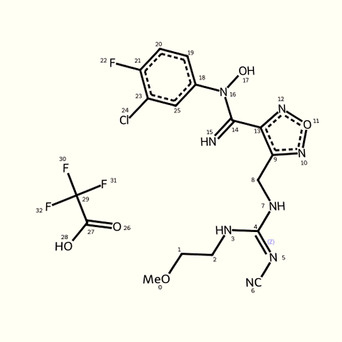 COCCN/C(=N\C#N)NCc1nonc1C(=N)N(O)c1ccc(F)c(Cl)c1.O=C(O)C(F)(F)F